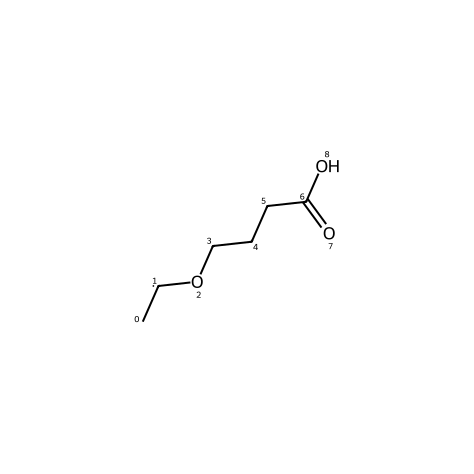 C[CH]OCCCC(=O)O